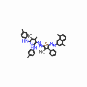 Cc1ccc(Nc2nc(Nc3ccc(C)cc3)c(N=Nc3sc(N=Nc4cc(C)c5cccc(C)c5c4)c(-c4ccccc4)c3C#N)c(C)c2C#N)cc1